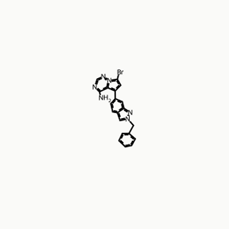 Nc1ncnn2c(Br)cc(-c3ccc4cn(Cc5ccccc5)nc4c3)c12